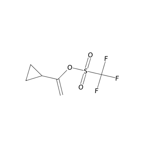 C=C(OS(=O)(=O)C(F)(F)F)C1CC1